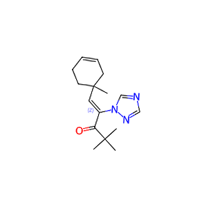 CC1(/C=C(/C(=O)C(C)(C)C)n2cncn2)CC=CCC1